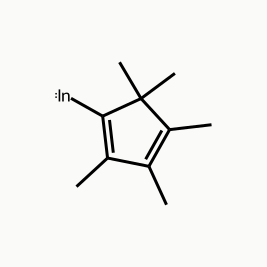 CC1=C(C)C(C)(C)[C]([In])=C1C